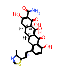 CC1N=CSC1/C=C/c1ccc(O)c2c1C[C@H]1C[C@H]3CC(O)=C(C(N)=O)C(=O)[C@@]3(O)C(O)=C1C2=O